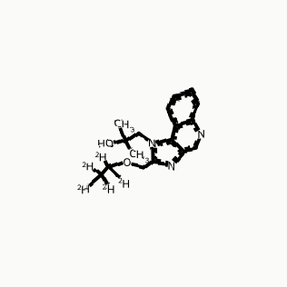 [2H]C([2H])([2H])C([2H])([2H])OCc1nc2cnc3ccccc3c2n1CC(C)(C)O